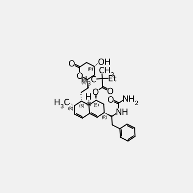 CCC(C)(C)C(=O)O[C@H]1C[C@@H](C(Cc2ccccc2)NC(N)=O)C=C2C=C[C@H](C)[C@H](CC[C@@H]3C[C@@H](O)CC(=O)O3)[C@H]21